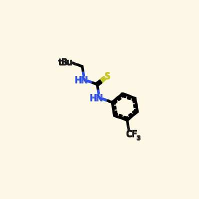 CC(C)(C)CNC(=S)Nc1cccc(C(F)(F)F)c1